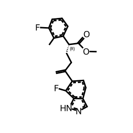 C=C(CC[C@@H](C(=O)OC)c1cccc(F)c1C)c1ccc2cn[nH]c2c1F